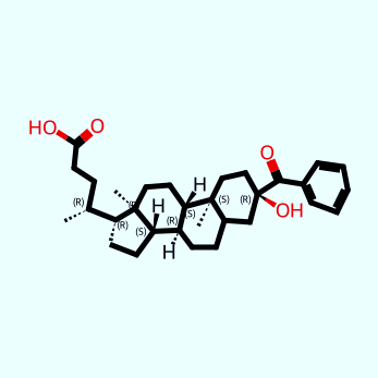 C[C@H](CCC(=O)O)[C@H]1CC[C@H]2[C@@H]3CCC4C[C@@](O)(C(=O)c5ccccc5)CC[C@]4(C)[C@H]3CC[C@]12C